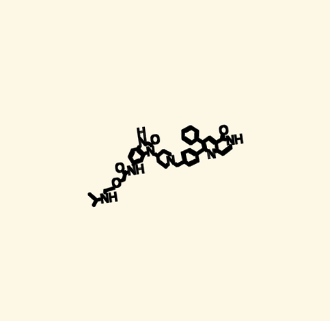 CC(C)NCCOCC(=O)Nc1ccc2[nH]c(=O)n(C3CCN(Cc4ccc(-c5nc6cc[nH]c(=O)c6cc5-c5ccccc5)cc4)CC3)c2c1